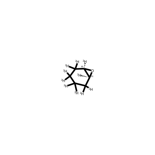 [2H]C1([2H])C([2H])([2H])C([2H])([2H])[C@@]2([2H])O[C@@]2([2H])C1([2H])[2H]